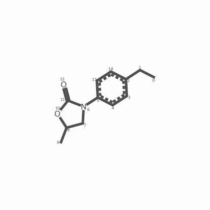 CCc1ccc(N2CC(C)OC2=O)cc1